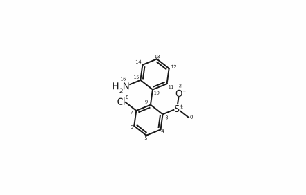 C[S+]([O-])c1cccc(Cl)c1-c1ccccc1N